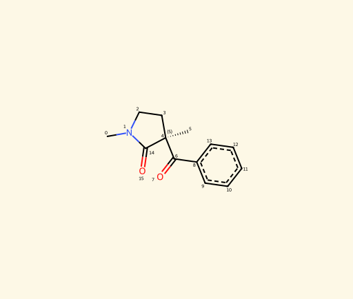 CN1CC[C@@](C)(C(=O)c2ccccc2)C1=O